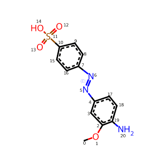 COc1cc(/N=N/c2ccc(S(=O)(=O)O)cc2)ccc1N